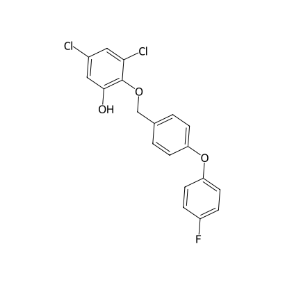 Oc1cc(Cl)cc(Cl)c1OCc1ccc(Oc2ccc(F)cc2)cc1